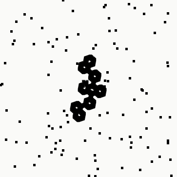 c1cc(-c2cccc3ccccc23)cc(-c2c3ccccc3c(-c3cccc(-c4cccc5ccccc45)c3)c3ncccc23)c1